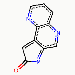 O=C1C=c2c(cnc3cccnc23)=N1